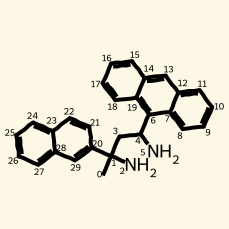 CC(N)(CC(N)c1c2ccccc2cc2ccccc12)c1ccc2ccccc2c1